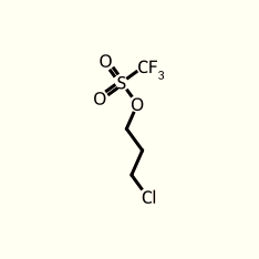 O=S(=O)(OCCCCl)C(F)(F)F